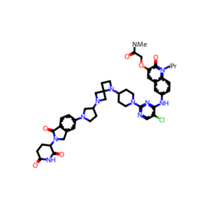 CNC(=O)COc1cc2cc(Nc3nc(N4CCC(N5CCC56CN(C5CCN(c7ccc8c(c7)CN(C7CCC(=O)NC7=O)C8=O)C5)C6)CC4)ncc3Cl)ccc2n(C(C)C)c1=O